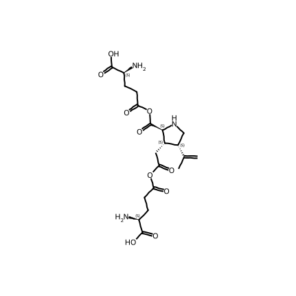 C=C(C)[C@H]1CN[C@H](C(=O)OC(=O)CC[C@H](N)C(=O)O)[C@H]1CC(=O)OC(=O)CC[C@H](N)C(=O)O